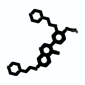 COc1ccc(-c2coc3cc(OCCN4CCOCC4)ccc3c2=O)cc1OCCN1CCOCC1